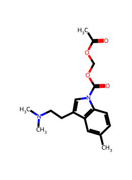 CC(=O)OCOC(=O)n1cc(CCN(C)C)c2cc(C)ccc21